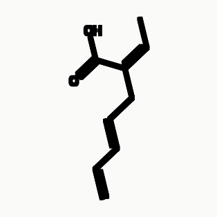 C=CC=CCC(=CC)C(=O)O